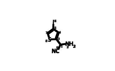 N#CC(N)c1cc(I)cs1